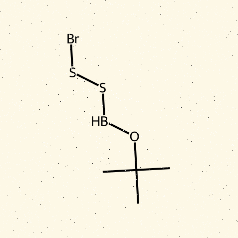 CC(C)(C)OBSSBr